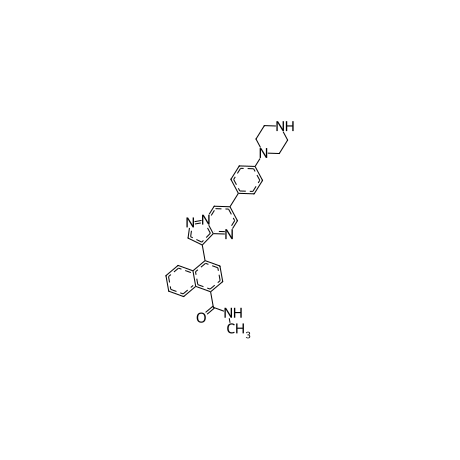 CNC(=O)c1ccc(-c2cnn3cc(-c4ccc(N5CCNCC5)cc4)cnc23)c2ccccc12